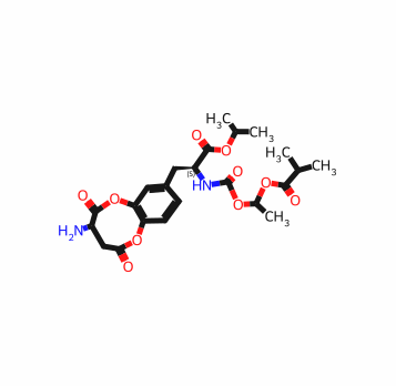 CC(C)OC(=O)[C@H](Cc1ccc2c(c1)OC(=O)C(N)CC(=O)O2)NC(=O)OC(C)OC(=O)C(C)C